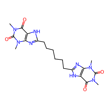 Cn1c(=O)c2[nH]c(CCCCCCc3nc4c([nH]3)c(=O)n(C)c(=O)n4C)nc2n(C)c1=O